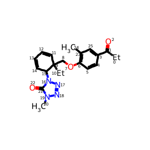 CCC(=O)c1ccc(OCC2(CC)C=CC=CC2n2nnn(C)c2=O)c(C)c1